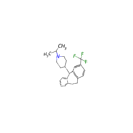 CC(C)N1CCC(C2c3ccccc3CCc3ccc(C(F)(F)F)cc32)CC1